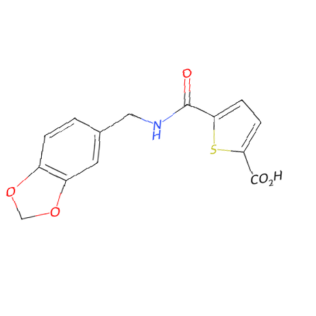 O=C(O)c1ccc(C(=O)NCc2ccc3c(c2)OCO3)s1